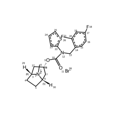 C[N+]1(C)[C@@H]2CC[C@H]1C[C@@H](OC(=O)N(Cc1ccc(F)cc1F)c1cccs1)C2.[Br-]